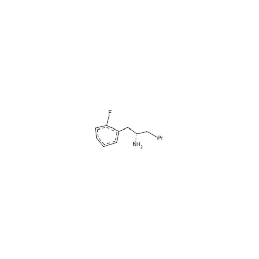 CC(C)C[C@H](N)Cc1ccccc1F